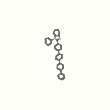 c1ccc(-c2ccc(-c3ccc(-c4ccc(-c5nc6ccccc6n5-c5ccccc5)cc4)cc3)cc2)cc#1